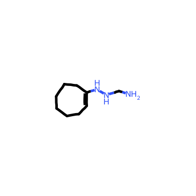 NCNN/C1=C/CCCCCC1